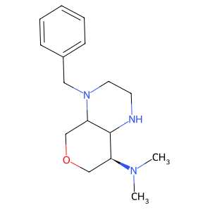 CN(C)[C@H]1COCC2C1NCCN2Cc1ccccc1